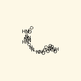 O=C1CC[C@H](N2C(=O)c3cccc(OCC(=O)N4CCN(CCCN5CCN(c6ccc(Nc7ncnc8c7ncn8C7CC(NC(=O)Cc8ccccc8)C7)cc6)CC5)CC4)c3C2=O)C(=O)N1